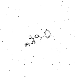 CC(C)OC(=O)O[CH]c1ccccc1